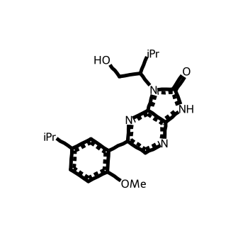 COc1ccc(C(C)C)cc1-c1cnc2[nH]c(=O)n(C(CO)C(C)C)c2n1